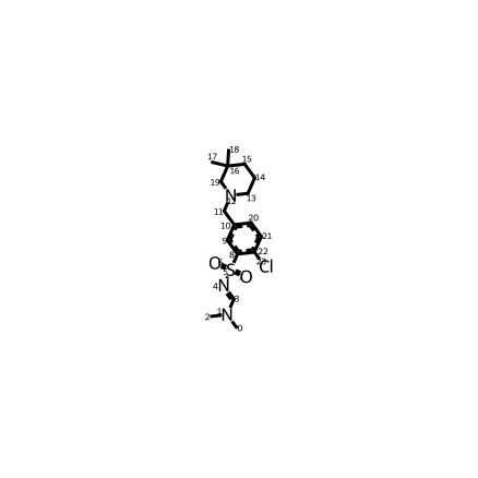 CN(C)C=NS(=O)(=O)c1cc(CN2CCCC(C)(C)C2)ccc1Cl